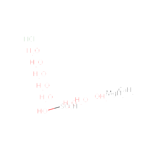 Cl.O.O.O.O.O.O.O.O.O=S(=O)(O)O.[CaH2].[MgH2]